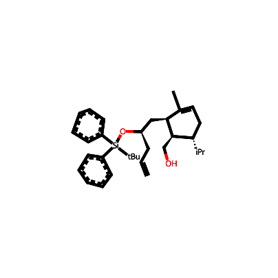 C=CC[C@H](C[C@H]1C(C)=CC[C@H](C(C)C)[C@H]1CO)O[Si](c1ccccc1)(c1ccccc1)C(C)(C)C